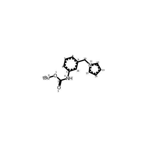 CC(C)(C)OC(=O)Nc1cccc(Cn2cccc2)c1